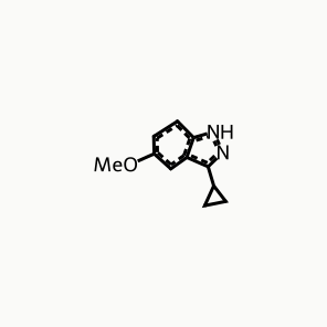 COc1ccc2[nH]nc(C3CC3)c2c1